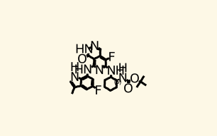 Cc1c[nH]c2c(Nc3nc(NC4CCCC[C@@H]4NC(=O)OC(C)(C)C)c(F)c4cn[nH]c(=O)c34)cc(F)cc12